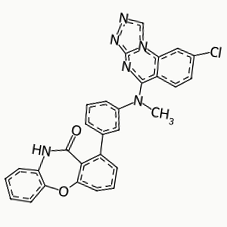 CN(c1cccc(-c2cccc3c2C(=O)Nc2ccccc2O3)c1)c1nc2nncn2c2cc(Cl)ccc12